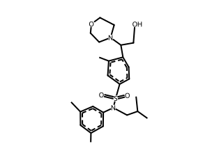 Cc1cc(C)cc(N(CC(C)C)S(=O)(=O)c2ccc(C(CO)N3CCOCC3)c(C)c2)c1